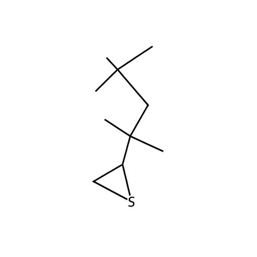 CC(C)(C)CC(C)(C)C1CS1